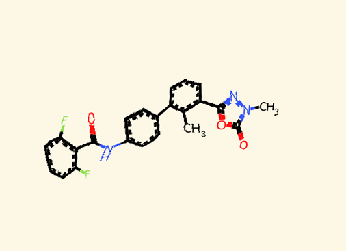 Cc1c(-c2ccc(NC(=O)c3c(F)cccc3F)cc2)cccc1-c1nn(C)c(=O)o1